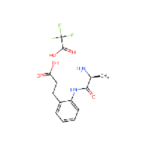 C[C@H](N)C(=O)Nc1ccccc1CCC(=O)O.O=C(O)C(F)(F)F